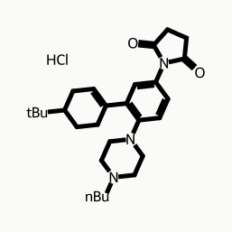 CCCCN1CCN(c2ccc(N3C(=O)CCC3=O)cc2C2=CCC(C(C)(C)C)CC2)CC1.Cl